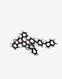 c1ccc(N(c2ccc(-c3ccc(-c4ccc5ccccc5c4)cc3)cc2)c2cccc3oc4c5ccccc5ccc4c23)c(-c2ccc3c(c2)oc2ccccc23)c1